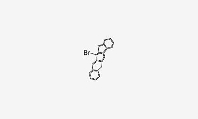 Brc1c2c(cc3c1=Cc1ccccc1C3)=c1ccccc1=C2